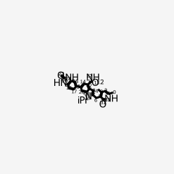 Cc1cc(C)c(Cc2cc3c(C(N)=O)cc(-c4ccc5[nH]c(=O)[nH]c5c4)cc3n2C(C)C)c(=O)[nH]1